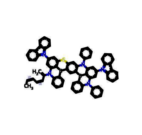 C=C(/C=C\C=C/C)N1c2ccccc2B2c3cc4c(cc3Sc3cc(-n5c6ccccc6c6ccccc65)cc1c32)N(c1ccccc1)c1cc(-n2c3ccccc3c3ccccc32)cc2c1B4c1ccccc1N2c1ccccc1